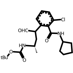 C[C@@H](CC(C=O)c1cccc(Cl)c1C(=O)NC1CCCC1)NC(=O)OC(C)(C)C